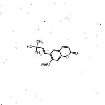 COc1cc2oc(=O)ccc2cc1/C=C/C(C)(C)O